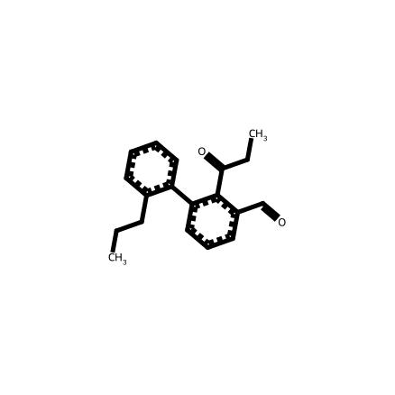 CCCc1ccccc1-c1cccc(C=O)c1C(=O)CC